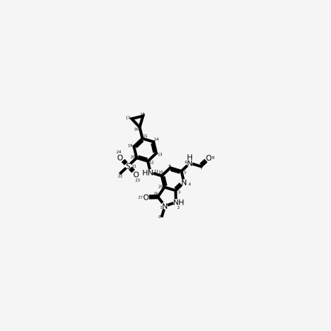 Cn1[nH]c2nc(NC=O)cc(Nc3ccc(C4CC4)cc3S(C)(=O)=O)c2c1=O